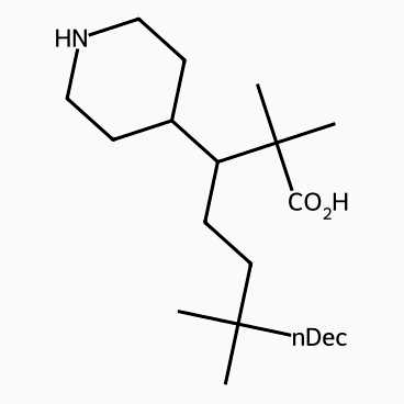 CCCCCCCCCCC(C)(C)CCC(C1CCNCC1)C(C)(C)C(=O)O